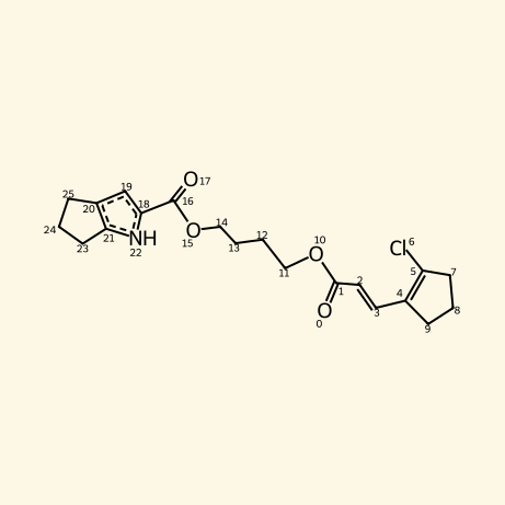 O=C(/C=C/C1=C(Cl)CCC1)OCCCCOC(=O)c1cc2c([nH]1)CCC2